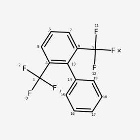 FC(F)(F)c1c[c]cc(C(F)(F)F)c1-c1ccccc1